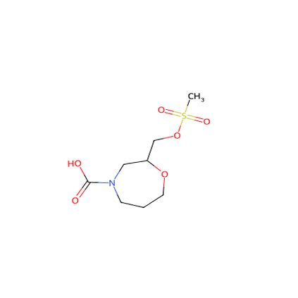 CS(=O)(=O)OCC1CN(C(=O)O)CCCO1